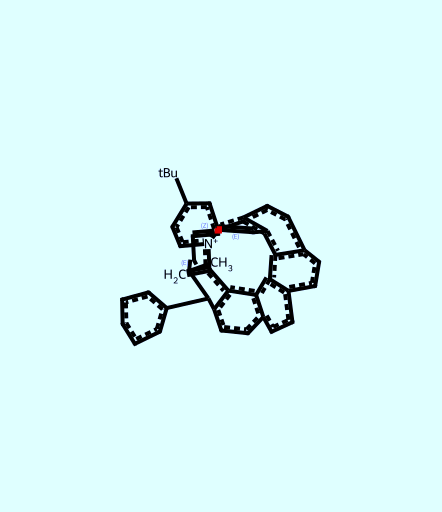 C=c1c2c3ccc4ccc5ccc6ccc(c(c6c5c42)/C=C/C=C\C=C(/C)C3c2ccccc2)c2cc(C(C)(C)C)cc[n+]12